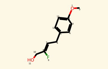 COc1ccc(CC=C(F)CO)cc1